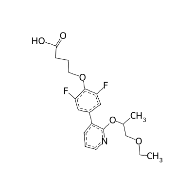 CCOCC(C)Oc1ncccc1-c1cc(F)c(OCCCC(=O)O)c(F)c1